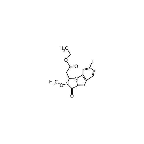 CCOC(=O)CC1N(OC)C(=O)c2cc3ccc(I)cc3n21